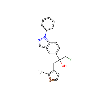 OC(CF)(Cc1ccsc1C(F)(F)F)c1ccc2c(cnn2-c2ccccc2)c1